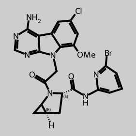 COc1cc(Cl)cc2c3c(N)ncnc3n(CC(=O)N3C4C[C@@H]4C[C@H]3C(=O)Nc3cccc(Br)n3)c12